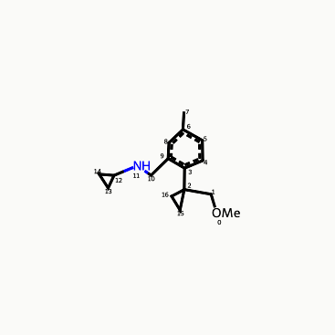 COCC1(c2ccc(C)cc2CNC2CC2)CC1